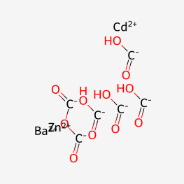 O=[C-]O.O=[C-]O.O=[C-]O.O=[C-]O.O=[C-]O[C-]=O.[Ba+2].[Cd+2].[Zn+2]